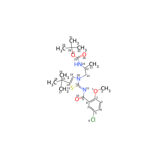 COc1ccc(Cl)cc1C(=O)N=c1sc(C(C)(C)C)cn1CC(C)NC(=O)OC(C)(C)C